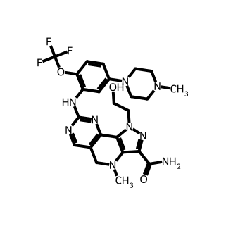 CN1CCN(c2ccc(OC(F)(F)F)c(Nc3ncc4c(n3)-c3c(c(C(N)=O)nn3CCO)N(C)C4)c2)CC1